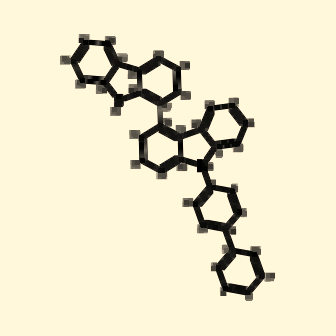 c1ccc(-c2ccc(-n3c4ccccc4c4c(-c5cccc6c5sc5ccccc56)cccc43)cc2)cc1